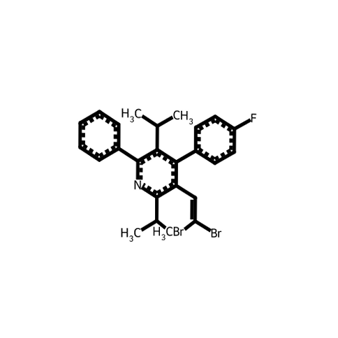 CC(C)c1nc(-c2ccccc2)c(C(C)C)c(-c2ccc(F)cc2)c1C=C(Br)Br